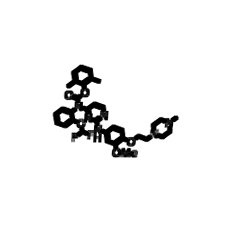 COc1cc(Nc2nccc(N(C(=O)Oc3c(C)cccc3C)c3ccccc3OC(F)F)n2)ccc1OCCN1CCN(C)CC1